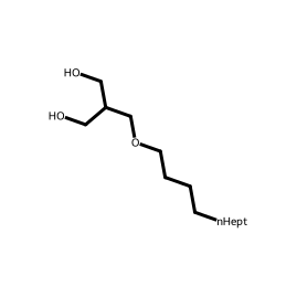 CCCCCCCCCCCOCC(CO)CO